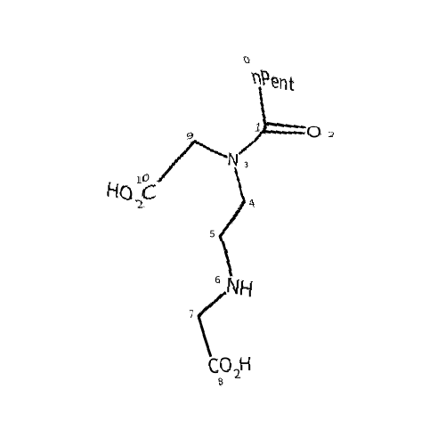 CCCCCC(=O)N(CCNCC(=O)O)CC(=O)O